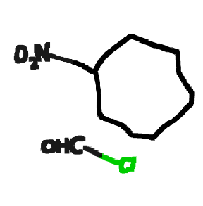 O=CCl.O=[N+]([O-])C1CCCCC1